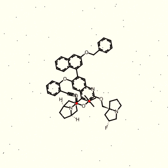 CC(C)(C)OC(=O)N1[C@@H]2CC[C@H]1CN(c1nc(OC[C@@]34CCCN3C[C@H](F)C4)nc3cc(-c4cc(OCc5ccccc5)cc5ccccc45)c(Oc4ccccc4C#N)cc13)C2